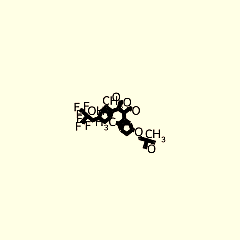 CC1C2CC(CC2CC(O)(C(F)(F)F)C(F)(F)F)C1C1C(=O)OC(=O)C1C1C(C)C2CC(OCC3(C)COC3)C1C2